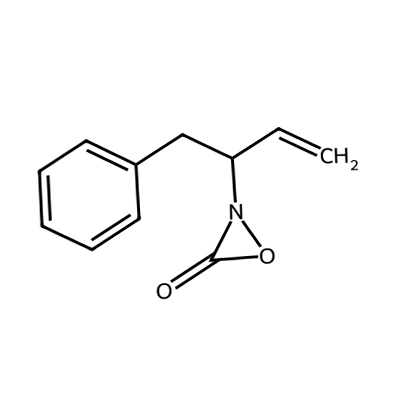 C=CC(Cc1ccccc1)N1OC1=O